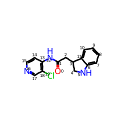 O=C(CC1CNc2ccccc21)Nc1ccncc1Cl